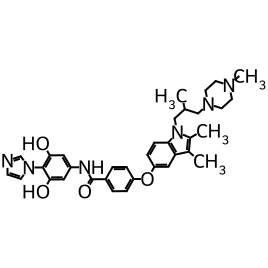 Cc1c(C)n(CC(C)CN2CCN(C)CC2)c2ccc(Oc3ccc(C(=O)Nc4cc(O)c(-n5ccnc5)c(O)c4)cc3)cc12